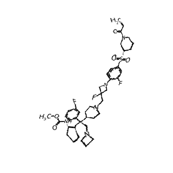 C=CC(=O)N1CCC[C@H](S(=O)(=O)c2ccc(N3CC(F)(CN4CCC([C@@](CN5CCC5)(c5cccc(F)c5)[C@H]5CCC[C@@H]5NC(=O)OC)CC4)C3)c(F)c2)C1